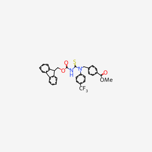 COC(=O)c1ccc(CN(C(=S)NC(=O)OCC2c3ccccc3-c3ccccc32)c2ccc(C(F)(F)F)cc2)cc1